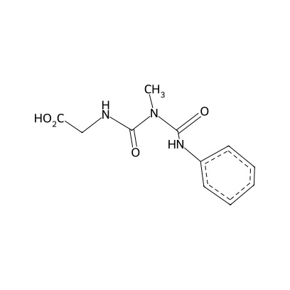 CN(C(=O)NCC(=O)O)C(=O)Nc1ccccc1